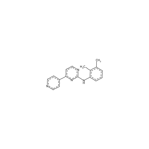 Cc1cccc(Nc2nccc(-c3ccncc3)n2)c1C